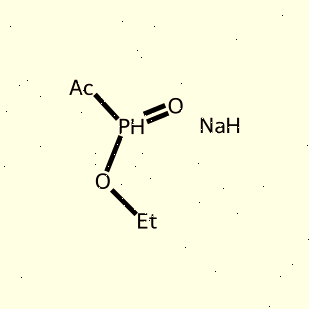 CCO[PH](=O)C(C)=O.[NaH]